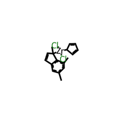 Cc1cc(C)c2c(c1)C=C[C]2(C)[Zr]([Cl])([Cl])[CH]1C=CC=C1